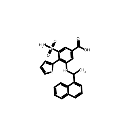 CC(Nc1cc(C(=O)O)cc(S(N)(=O)=O)c1-c1cccs1)c1cccc2ccccc12